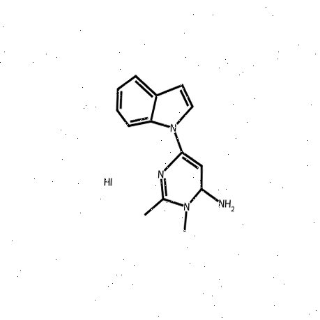 CC1=NC(n2ccc3ccccc32)=CC(N)N1C.I